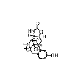 CN1CC[C@]23C[C@@H]4OC(=O)N[C@H]4C[C@@]2(O)[C@H]1Cc1ccc(O)cc13